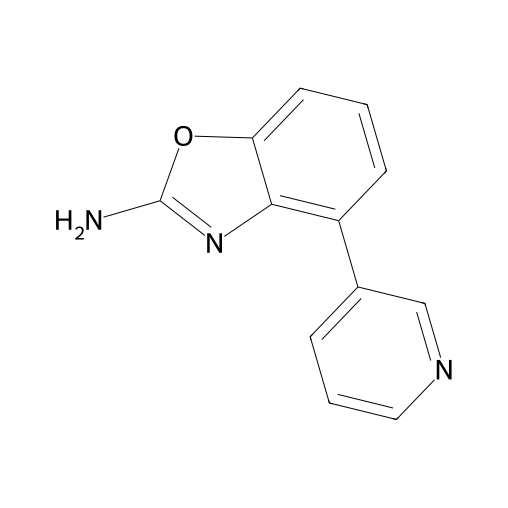 Nc1nc2c(-c3cccnc3)cccc2o1